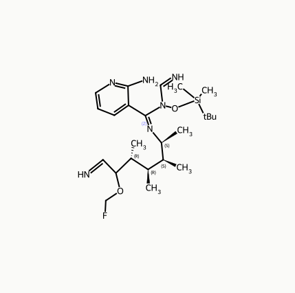 C[C@H]([C@H](C)[C@H](C)/N=C(/c1cccnc1N)N(C=N)O[Si](C)(C)C(C)(C)C)[C@@H](C)C(C=N)OCF